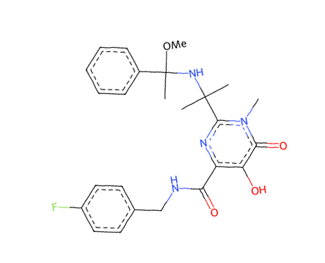 COC(C)(NC(C)(C)c1nc(C(=O)NCc2ccc(F)cc2)c(O)c(=O)n1C)c1ccccc1